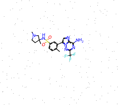 Cc1ccc(S(=O)(=O)NC2(C)CCN(C)C2)cc1-c1cnc2c(N)nc(C(F)(F)F)nn12